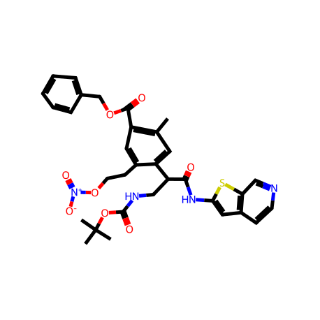 Cc1cc(C(CNC(=O)OC(C)(C)C)C(=O)Nc2cc3ccncc3s2)c(CCO[N+](=O)[O-])cc1C(=O)OCc1ccccc1